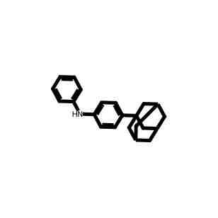 c1ccc(Nc2ccc(C34CC5CC(CC(C5)C3)C4)cc2)cc1